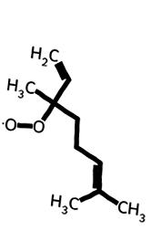 C=CC(C)(CCC=C(C)C)O[O]